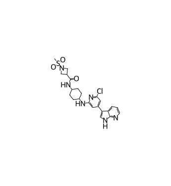 CS(=O)(=O)N1CC(C(=O)NC2CCC(Nc3cc(-c4c[nH]c5ncccc45)cc(Cl)n3)CC2)C1